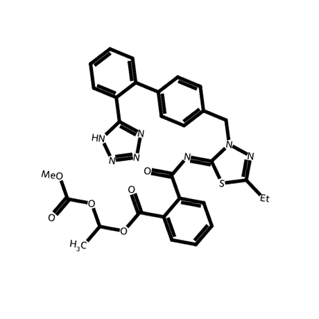 CCc1nn(Cc2ccc(-c3ccccc3-c3nnn[nH]3)cc2)c(=NC(=O)c2ccccc2C(=O)OC(C)OC(=O)OC)s1